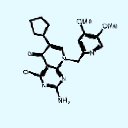 COc1cnc(Cn2cc(C3CCCC3)c(=O)c3c(Cl)nc(N)nc32)cc1OC